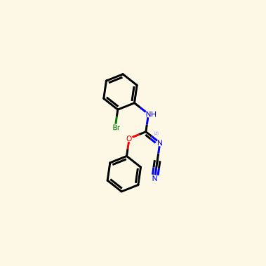 N#C/N=C(/Nc1ccccc1Br)Oc1ccccc1